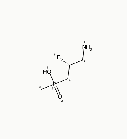 CP(=O)(O)C[C@H](F)CN